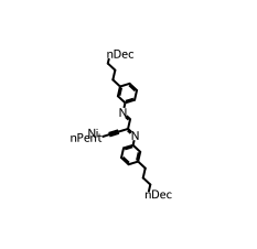 CCCCCC#CC(/C=N/c1cccc(CCCCCCCCCCCCC)c1)=N\c1cccc(CCCCCCCCCCCCC)c1.[Ni]